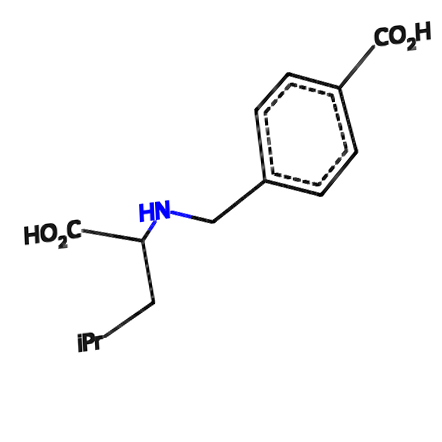 CC(C)CC(NCc1ccc(C(=O)O)cc1)C(=O)O